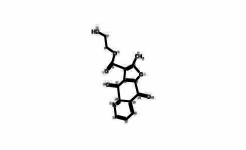 Cc1oc2c(c1C(=O)OCCO)C(=O)c1ncccc1C2=O